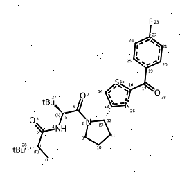 C[C@@H](C(=O)N[C@H](C(=O)N1CCC[C@H]1c1csc(C(=O)c2ccc(F)cc2)n1)C(C)(C)C)C(C)(C)C